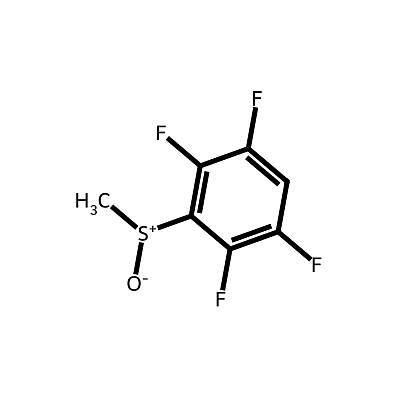 C[S+]([O-])c1c(F)c(F)cc(F)c1F